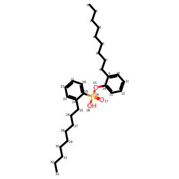 CCCCCCCCCc1ccccc1OP(=O)(O)c1ccccc1CCCCCCCCC